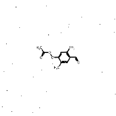 CC(=O)OOc1cc(C)c(C=O)cc1C